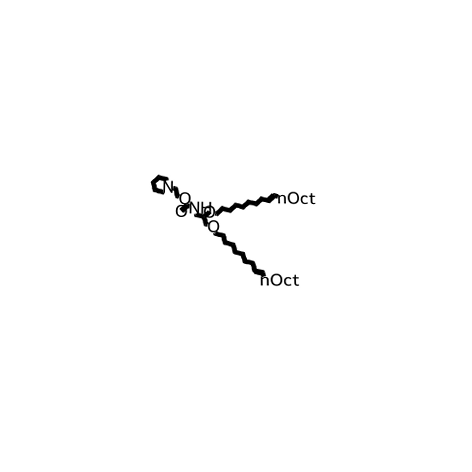 CCCCCCCCC=CCCCCCCCCOCC(CNC(=O)OCCN1CCCCC1)OCCCCCCCCC=CCCCCCCCC